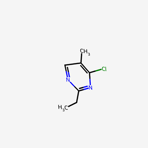 CCc1ncc(C)c(Cl)n1